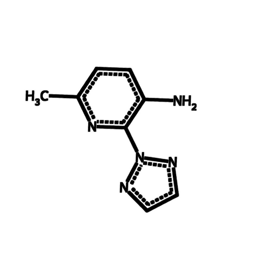 Cc1ccc(N)c(-n2nccn2)n1